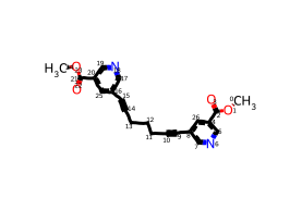 COC(=O)c1cncc(C#CCCCC#Cc2cncc(C(=O)OC)c2)c1